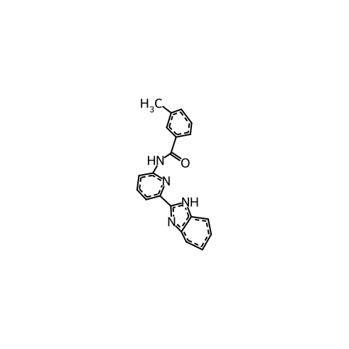 Cc1cccc(C(=O)Nc2cccc(-c3nc4ccccc4[nH]3)n2)c1